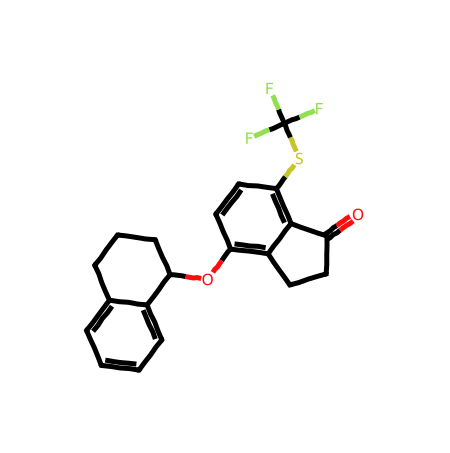 O=C1CCc2c(OC3CCCc4ccccc43)ccc(SC(F)(F)F)c21